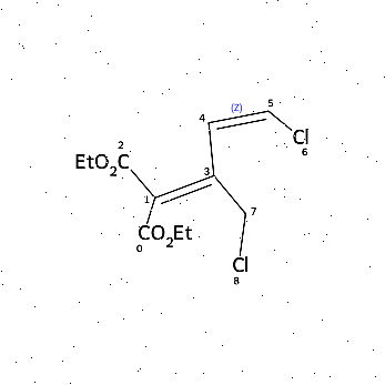 CCOC(=O)C(C(=O)OCC)=C(/C=C\Cl)CCl